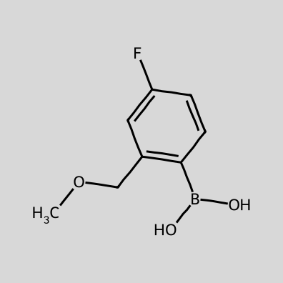 COCc1cc(F)ccc1B(O)O